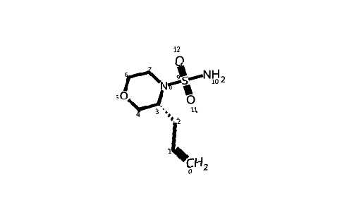 C=CC[C@@H]1COCCN1S(N)(=O)=O